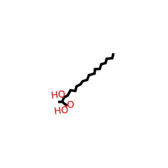 CCCCCCCCCCCCCCCCC(O)C(C)C(=O)O